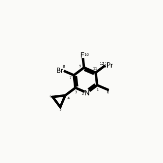 Cc1nc(C2CC2)c(Br)c(F)c1C(C)C